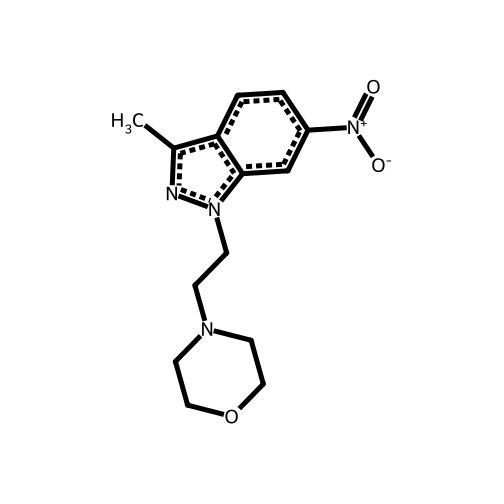 Cc1nn(CCN2CCOCC2)c2cc([N+](=O)[O-])ccc12